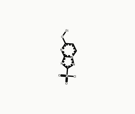 CCOc1ccn2nc(S(=O)(=O)Cl)nc2n1